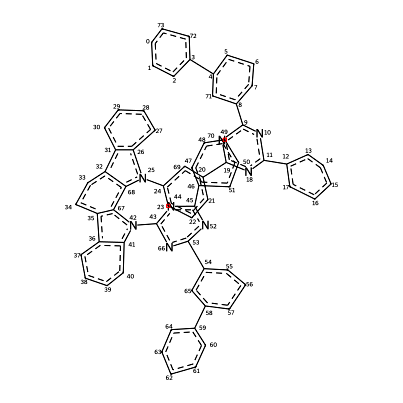 c1ccc(-c2cccc(-c3nc(-c4ccccc4)nc(-c4cccc(-n5c6ccccc6c6ccc7c8ccccc8n(-c8nc(-c9ccccc9)nc(-c9cccc(-c%10ccccc%10)c9)n8)c7c65)c4)n3)c2)cc1